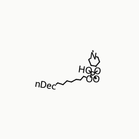 CCCCCCCCCCCCCCCCCOP(=O)(O)OC1CCN(C)CC1